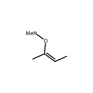 C/C=C(/C)ONC